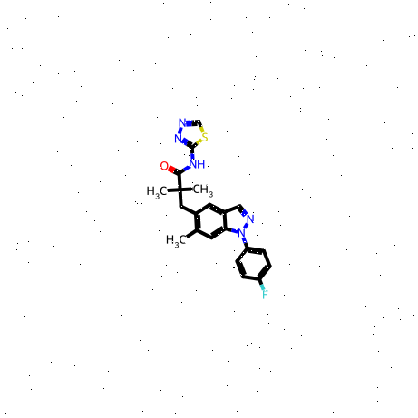 Cc1cc2c(cnn2-c2ccc(F)cc2)cc1CC(C)(C)C(=O)Nc1nncs1